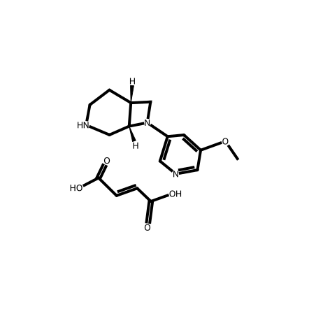 COc1cncc(N2C[C@H]3CCNC[C@H]32)c1.O=C(O)C=CC(=O)O